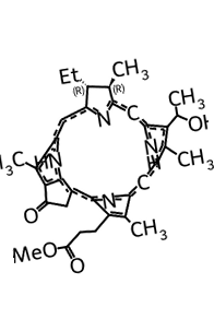 CC[C@H]1c2cc3[nH]c4c(c5nc(cc6[nH]c(cc(n2)[C@@H]1C)c(C(C)O)c6C)C(C)=C5CCC(=O)OC)CC(=O)c4c3C